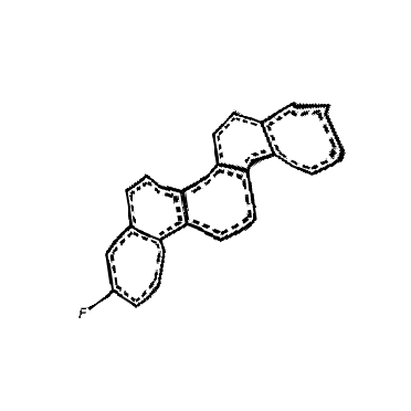 Fc1ccc2c(ccc3c2ccc2c4ccccc4ccc23)c1